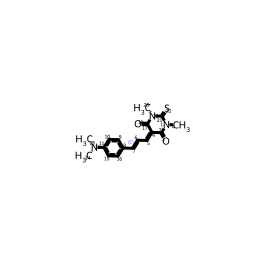 CN1C(=O)C(=C/C=C/c2ccc(N(C)C)cc2)C(=O)N(C)C1=S